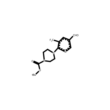 CC(C)(C)OC(=O)N1CCN(c2ncc(C=O)cc2C(F)(F)F)CC1